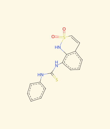 O=S1(=O)C=Cc2cccc(NC(=S)Nc3ccccc3)c2N1